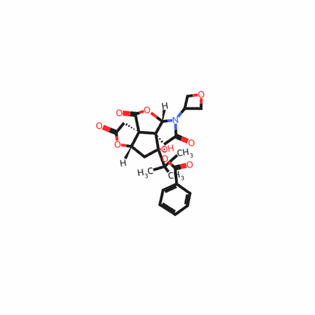 CC(C)(C)[C@]1(O)C[C@@H]2OC(=O)C[C@@]23C(=O)O[C@@H]2N(C4COC4)C(=O)[C@H](OC(=O)c4ccccc4)[C@]213